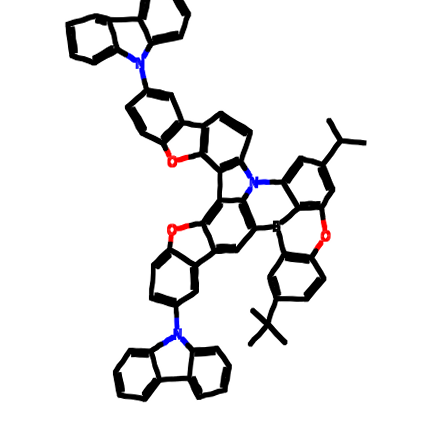 CC(C)c1cc2c3c(c1)-n1c4ccc5c6cc(-n7c8ccccc8c8ccccc87)ccc6oc5c4c4c5oc6ccc(-n7c8ccccc8c8ccccc87)cc6c5cc(c41)B3c1cc(C(C)(C)C)ccc1O2